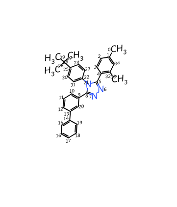 Cc1ccc(-c2nnc(-c3cccc(-c4ccccc4)c3)n2-c2ccc(C(C)(C)C)cc2)c(C)c1